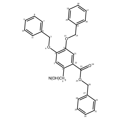 CN(O)c1cc(OCc2ccccc2)c(OCc2ccccc2)cc1C(=O)OCc1ccccc1